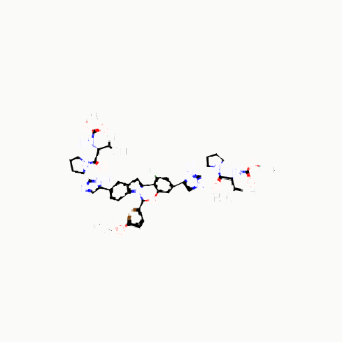 COC(=O)N[C@H](C(=O)N1CCC[C@H]1c1ncc(-c2cc(F)c3c(c2)OC(c2ccc(OC)s2)n2c-3cc3cc(-c4cnc([C@@H]5CCCN5C(=O)[C@@H](NC(=O)OC)C(C)C)[nH]4)ccc32)[nH]1)C(C)C